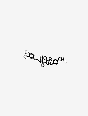 Cc1ccc(CN2CC(C(=O)NCCCc3ccc(Cl)c(Cl)c3)=C(O)C2=O)cc1